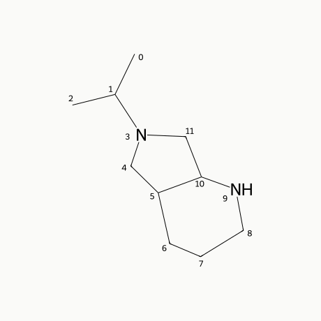 CC(C)N1CC2CCCNC2C1